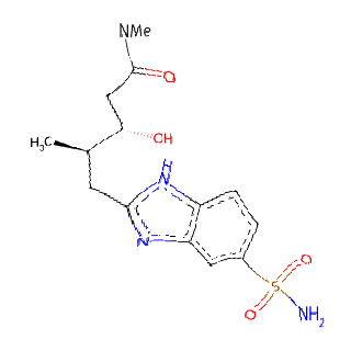 CNC(=O)C[C@H](O)[C@H](C)Cc1nc2cc(S(N)(=O)=O)ccc2[nH]1